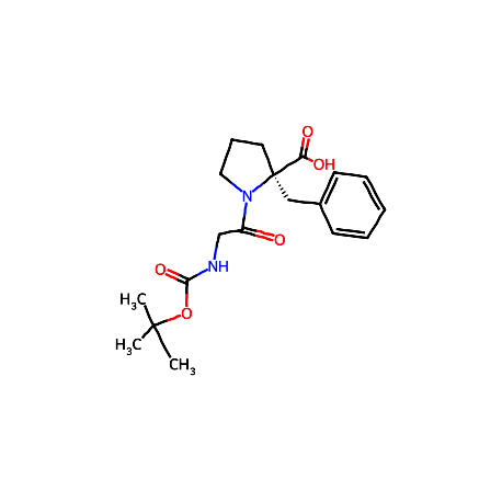 CC(C)(C)OC(=O)NCC(=O)N1CCC[C@@]1(Cc1ccccc1)C(=O)O